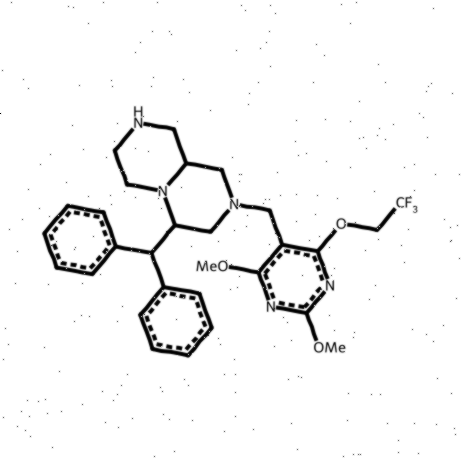 COc1nc(OC)c(CN2CC3CNCCN3C(C(c3ccccc3)c3ccccc3)C2)c(OCC(F)(F)F)n1